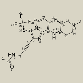 CC(=O)NCC#Cc1nc2c(N[C@@H]3CCN(C)C[C@@H]3F)cccn2c1SC(F)(F)F